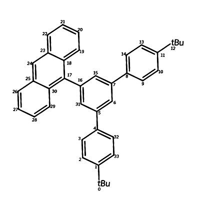 CC(C)(C)c1ccc(-c2cc(-c3ccc(C(C)(C)C)cc3)cc(-c3c4ccccc4cc4ccccc34)c2)cc1